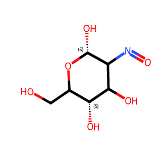 O=NC1C(O)[C@H](O)C(CO)O[C@@H]1O